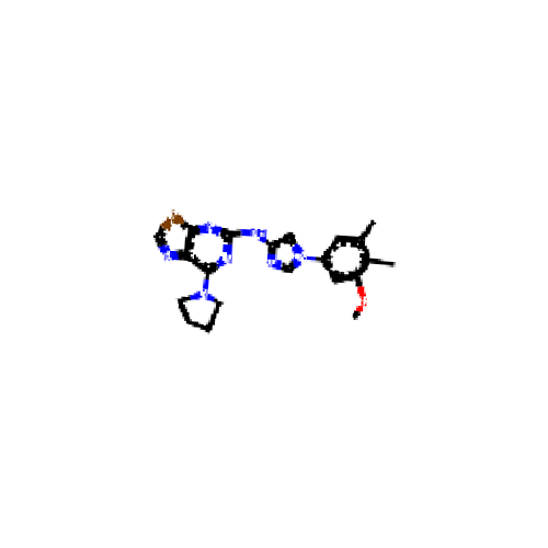 COc1cc(-n2cnc(Nc3nc(N4CCCC4)c4ncsc4n3)c2)cc(C)c1C